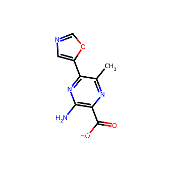 Cc1nc(C(=O)O)c(N)nc1-c1cnco1